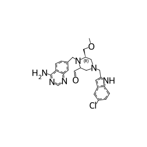 COC[C@H]1CN(Cc2cc3cc(Cl)ccc3[nH]2)CC(C=O)N1Cc1ccc2c(N)ncnc2c1